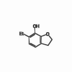 CCc1ccc2c(c1O)OCC2